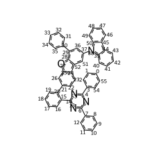 c1ccc(-c2nc(-c3ccccc3)nc(-c3ccccc3-c3ccc4c(c3)oc3c(-c5ccccc5)cc(-n5c6ccccc6c6ccccc65)cc34)n2)cc1